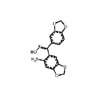 Nc1cc2c(cc1/C(=N\O)c1ccc3c(c1)OCO3)OCO2